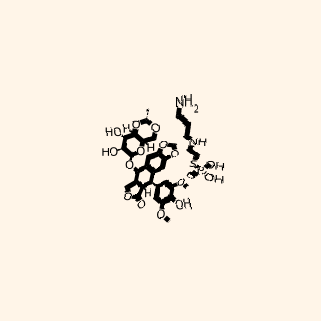 COc1cc([C@@H]2c3cc4c(cc3C(O[C@@H]3O[C@@H]5CO[C@@H](C)O[C@H]5[C@H](O)[C@H]3O)C3COC(=O)[C@@H]32)OCO4)cc(OC)c1O.NCCCNCCSP(=O)(O)O